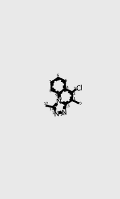 Cc1c(Cl)c2ccccc2n2c(C)nnc12